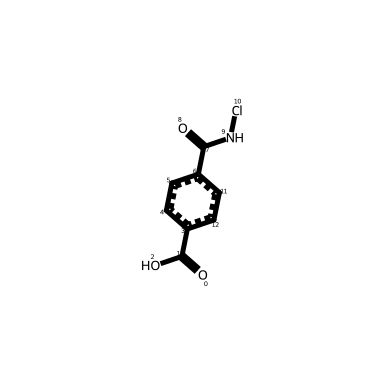 O=C(O)c1ccc(C(=O)NCl)cc1